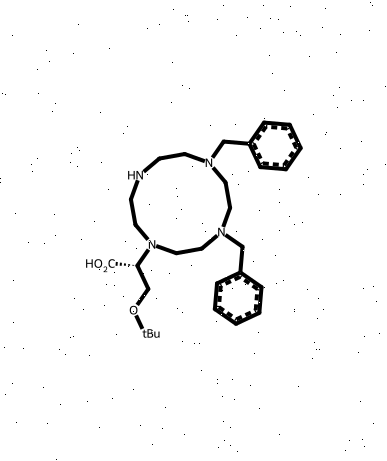 CC(C)(C)OC[C@H](C(=O)O)N1CCNCCN(Cc2ccccc2)CCN(Cc2ccccc2)CC1